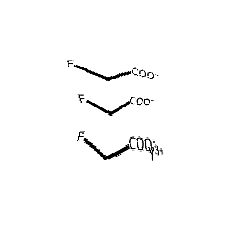 O=C([O-])CF.O=C([O-])CF.O=C([O-])CF.[Y+3]